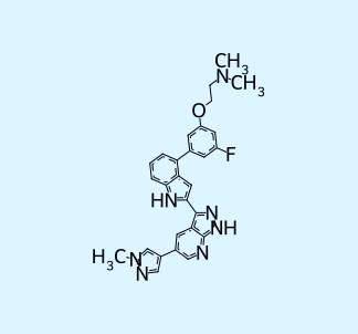 CN(C)CCOc1cc(F)cc(-c2cccc3[nH]c(-c4n[nH]c5ncc(-c6cnn(C)c6)cc45)cc23)c1